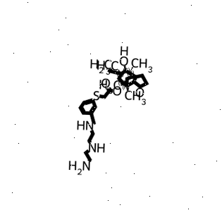 C=C[C@]1(C)C[C@@H](OC(=O)CSc2cccc(CNCCNCCN)c2)[C@]2(C)C(C)CCC3(CCC(=O)C32)[C@@H](C)[C@@H]1O